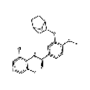 COc1ccc(C(=O)Nc2c(Cl)cncc2Cl)cc1OC1CC2CCC1O2